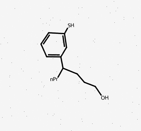 CCCC(CCCO)c1cccc(S)c1